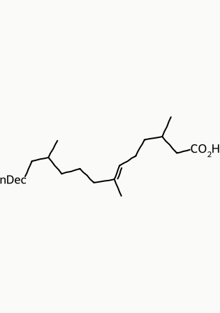 CCCCCCCCCCCC(C)CCCC(C)=CCCC(C)CC(=O)O